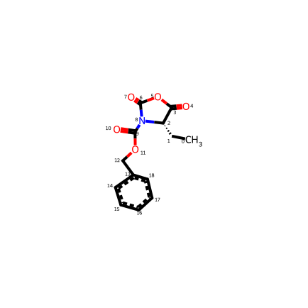 CC[C@H]1C(=O)OC(=O)N1C(=O)OCc1ccccc1